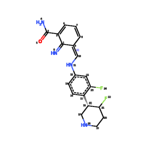 N=C1C(C(N)=O)=CC=C/C1=C/Nc1ccc([C@H]2CNCCC2F)c(F)c1